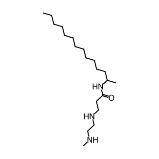 CCCCCCCCCCCCC(C)NC(=O)CCNCCNC